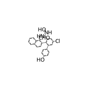 N=C(NO)c1cc(Cl)cc(-c2ccc(O)cc2)c1-c1ccc2ccccc2c1C=O